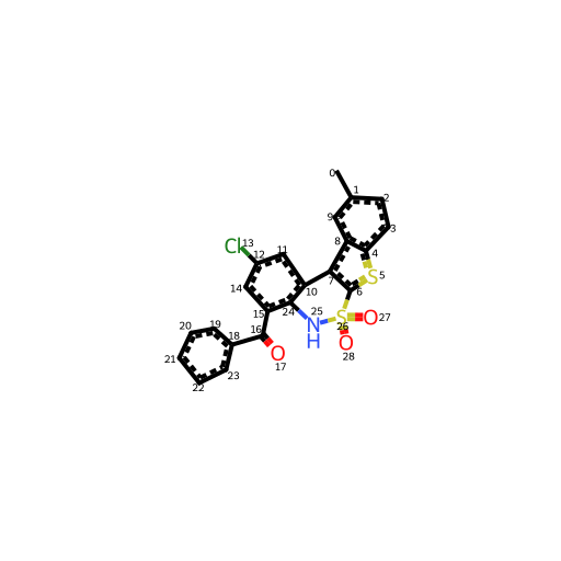 Cc1ccc2sc3c(c2c1)-c1cc(Cl)cc(C(=O)c2ccccc2)c1NS3(=O)=O